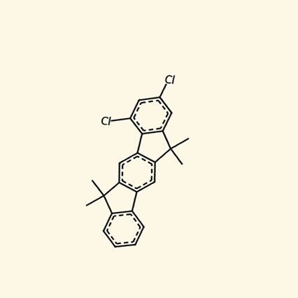 CC1(C)c2ccccc2-c2cc3c(cc21)-c1c(Cl)cc(Cl)cc1C3(C)C